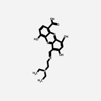 CCN(CC)CC/N=C/c1c(O)cc(O)c2nc3c(C(=O)O)ccc(O)c3nc12